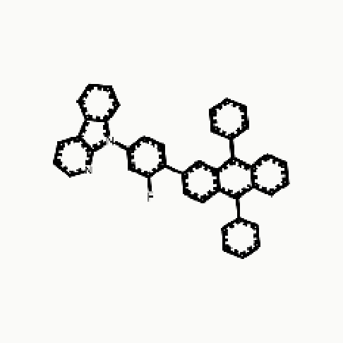 Fc1cc(-n2c3ccccc3c3cccnc32)ccc1-c1ccc2c(-c3ccccc3)c3ccccc3c(-c3ccccc3)c2c1